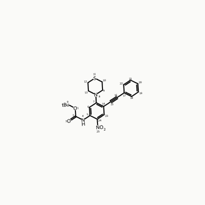 CC(C)(C)OC(=O)Nc1cc(N2CCSCC2)c(C#Cc2ccccc2)cc1[N+](=O)[O-]